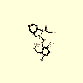 O=CC(=O)C1c2ccccc2CN1CC1NCCc2c(Cl)ccc(O)c21